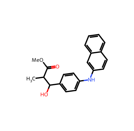 COC(=O)C(C)C(O)c1ccc(Nc2ccc3ccccc3c2)cc1